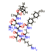 CCCCc1ccc(-c2ccc(C(=O)NCCC(=O)N[C@@H](CCCCN)C(=O)N[C@H](C(=O)N[C@@H](N)C(=O)N[C@@H](CC(N)=O)C(=O)N[C@@H](CC)B3OC4C[C@@H]5C[C@@H](C5(C)C)[C@]4(C)O3)C(C)O)cc2)cc1